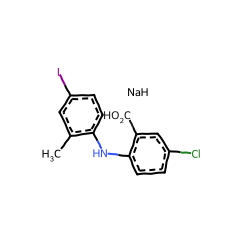 Cc1cc(I)ccc1Nc1ccc(Cl)cc1C(=O)O.[NaH]